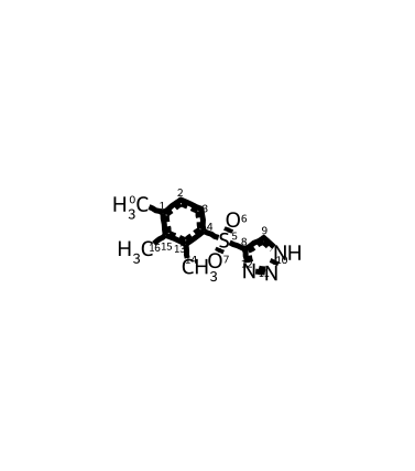 Cc1ccc(S(=O)(=O)c2c[nH]nn2)c(C)c1C